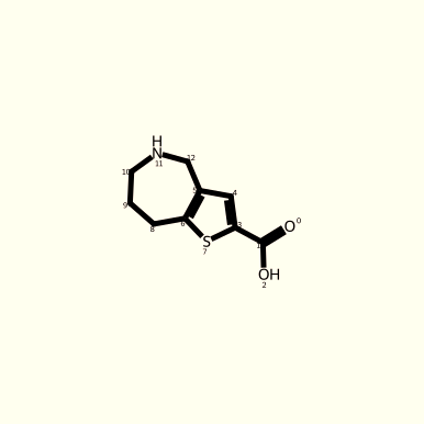 O=C(O)c1cc2c(s1)CCCNC2